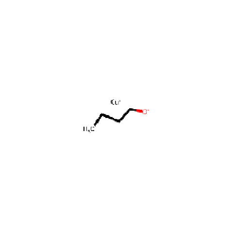 CCCC[O-].[Cu+]